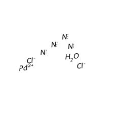 O.[Cl-].[Cl-].[N].[N].[N].[N].[Pd+2]